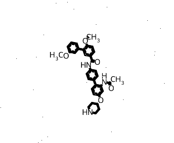 COc1cccc(-c2cc(C(=O)Nc3ccc(-c4ccc(OC5CCNCC5)cc4NC(C)=O)cc3)ccc2OC)c1